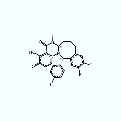 CN1C(=O)c2c(O)c(=O)ccn2N2[C@@H](c3ccc(F)cc3)c3cc(F)c(F)cc3CCC[C@H]12